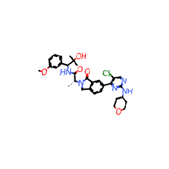 COc1cccc([C@H](NC(=O)[C@@H](C)N2Cc3ccc(-c4nc(NC5CCOCC5)ncc4Cl)cc3C2=O)C(C)(C)O)c1